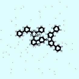 c1ccc(C2=NC(c3cccc(-c4ccccc4)c3)=NC(c3cccc4oc5cc(-n6c7ccc(-c8ccccc8)cc7c7cc(-c8ccccc8)ccc76)ccc5c34)N2)cc1